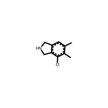 Cc1cc2c(c(Cl)c1C)CNC2